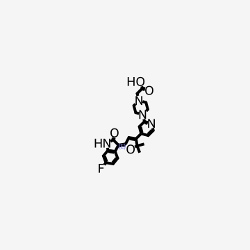 CC1(C)O/C(=C2/C(=O)Nc3cc(F)ccc32)C=C1c1ccnc(N2CCN(CC(=O)O)CC2)c1